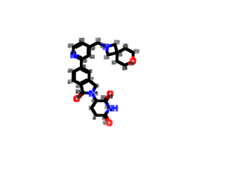 O=C1CCC(N2Cc3cc(-c4cc(CN5CC6(CCOCC6)C5)ccn4)ccc3C2=O)C(=O)N1